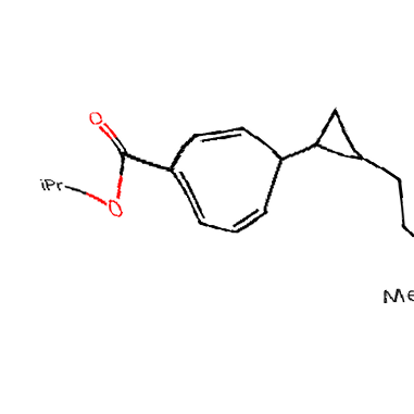 CSCCCC1CC1C1C=CC=C(C(=O)OC(C)C)C=C1